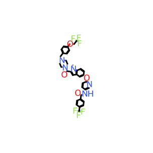 Cn1c(C(=O)N2CCN(Cc3ccc(OCC(F)(F)F)cc3)CC2)cc2cc(Oc3ccc(NC(=O)c4ccc(C(F)(F)F)cc4)cn3)ccc21